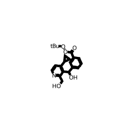 CC(C)(C)OOC(=O)c1cccc(C(O)c2c(C3CC3)ccnc2CO)c1